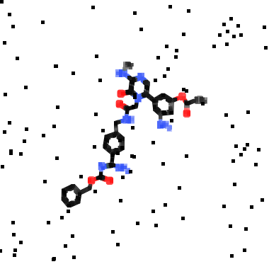 CC(C)Nc1ncc(-c2cc(N)cc(OC(=O)C(C)(C)C)c2)n(CC(=O)NCc2ccc(/C(N)=N/C(=O)OCc3ccccc3)cc2)c1=O